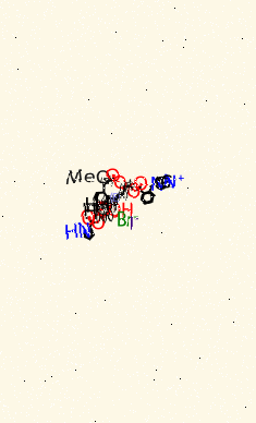 CO[C@H]1CC2C=C[C@H]3[C@H]4O[C@]2(/C(C)=C/[C@@H](C)[C@@H]([C@@H](C)OC(=O)c2ccccc2C[N+]25CC[N+](C)(CC2)CC5)OC1=O)[C@@H]3[C@H](O)[C@@H](C)[C@H]4OC(=O)c1ccc[nH]1.[Br-].[I-]